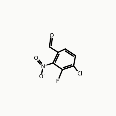 O=Cc1ccc(Cl)c(F)c1[N+](=O)[O-]